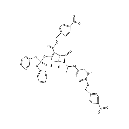 CC(NC(=O)CN(C)C(=O)OCc1ccc([N+](=O)[O-])cc1)[C@H]1C(=O)N2C(C(=O)OCc3ccc([N+](=O)[O-])cc3)=C(OP(=O)(Oc3ccccc3)Oc3ccccc3)[C@H](C)[C@H]12